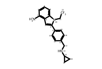 Nc1cccc2c1cc(-c1ccc(CNC3CC3)cc1)n2CC(F)(F)F